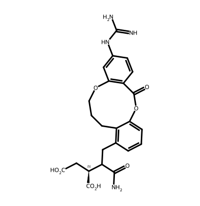 N=C(N)Nc1ccc2c(c1)OCCCc1c(CC(C(N)=O)[C@H](CC(=O)O)C(=O)O)cccc1OC2=O